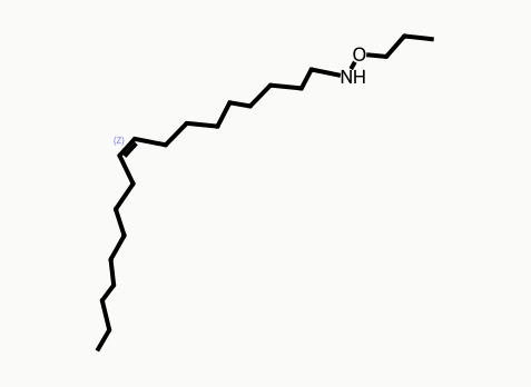 CCCCCCCC/C=C\CCCCCCCCNOCCC